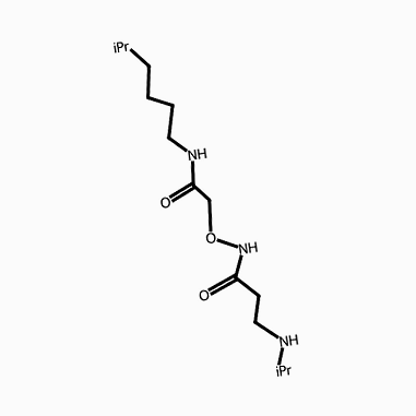 CC(C)CCCCNC(=O)CONC(=O)CCNC(C)C